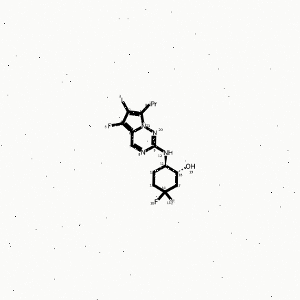 CC(C)c1c(I)c(F)c2cnc(N[C@@H]3CCC(F)(F)C[C@H]3O)nn12